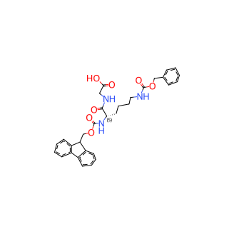 O=C(O)CNC(=O)[C@H](CCCCNC(=O)OCc1ccccc1)NC(=O)OCC1c2ccccc2-c2ccccc21